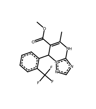 COC(=O)C1=C(C)Nc2ncnn2C1c1ccccc1C(F)(F)F